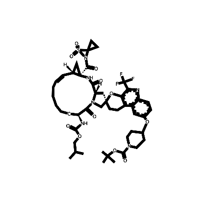 CC(C)COC(=O)N[C@H]1CCCCC/C=C\[C@@H]2C[C@@]2(C(=O)N2C3(CC3)S2(=O)=O)NC(=O)[C@@H]2C[C@]3(CCc4c(c(C(F)(F)F)nc5ccc(OC6CCN(C(=O)OC(C)(C)C)CC6)cc45)O3)CN2C1=O